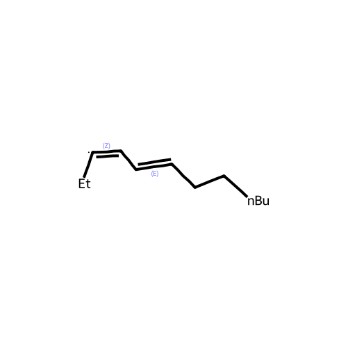 CC/[C]=C\C=C\CCCCCC